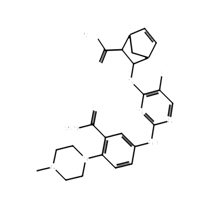 CNC(=O)c1cc(Nc2ncc(F)c(NC3C4C=CC(C4)C3C(=O)OC)n2)ccc1N1CCN(C)CC1